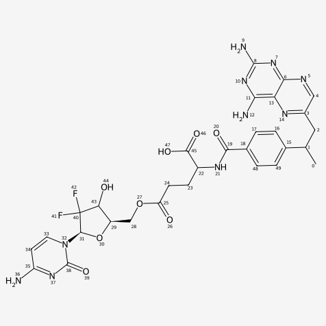 CC(Cc1cnc2nc(N)nc(N)c2n1)c1ccc(C(=O)NC(CCC(=O)OC[C@H]2O[C@@H](n3ccc(N)nc3=O)C(F)(F)C2O)C(=O)O)cc1